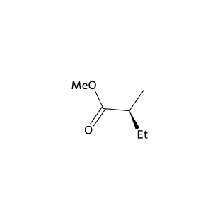 CC[C@H](C)C(=O)OC